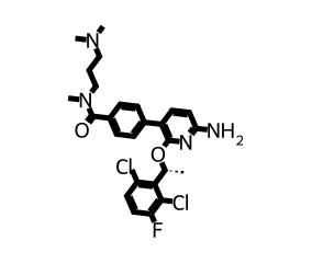 C[C@@H](Oc1nc(N)ccc1-c1ccc(C(=O)N(C)CCCN(C)C)cc1)c1c(Cl)ccc(F)c1Cl